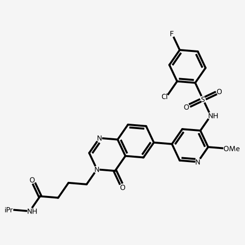 COc1ncc(-c2ccc3ncn(CCCC(=O)NC(C)C)c(=O)c3c2)cc1NS(=O)(=O)c1ccc(F)cc1Cl